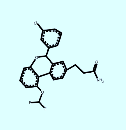 NC(=O)CCc1ccc2c(c1)C(c1cccc(Cl)c1)Oc1cccc(OC(F)F)c1-2